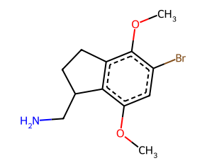 COc1cc(Br)c(OC)c2c1C(CN)CC2